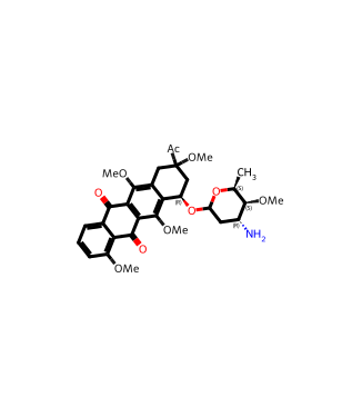 COc1cccc2c1C(=O)c1c(OC)c3c(c(OC)c1C2=O)CC(OC)(C(C)=O)C[C@H]3OC1C[C@@H](N)[C@H](OC)[C@H](C)O1